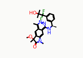 COC1(C)C(=O)N(C)c2cc3c(N[C@H](C)c4cccc(C(F)(F)C(C)(C)O)c4)nnc(C)c3cc21